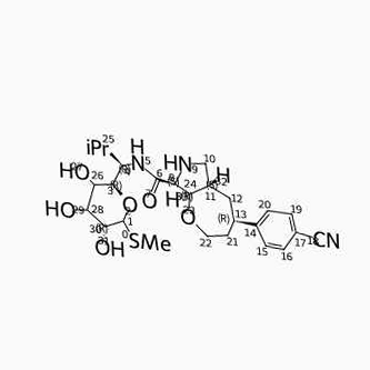 CSC1O[C@H]([C@H](NC(=O)[C@H]2NC[C@@H]3C[C@@H](c4ccc(C#N)cc4)CCO[C@H]32)C(C)C)C(O)C(O)[C@H]1O